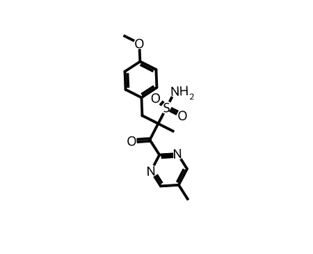 COc1ccc(CC(C)(C(=O)c2ncc(C)cn2)S(N)(=O)=O)cc1